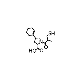 CC(CS)C(=O)N1CC(C2=CCCCC2)C[C@H]1C(=O)O